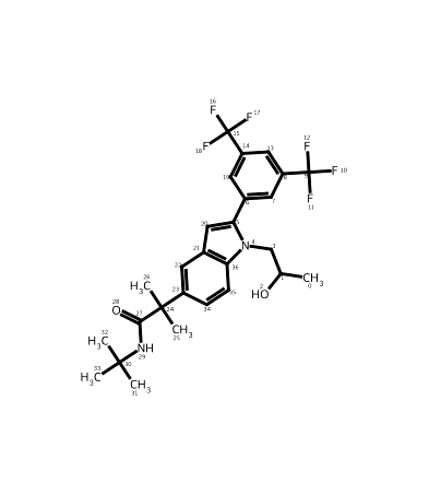 CC(O)Cn1c(-c2cc(C(F)(F)F)cc(C(F)(F)F)c2)cc2cc(C(C)(C)C(=O)NC(C)(C)C)ccc21